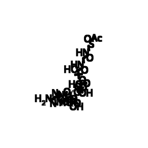 CC(=O)C(=O)SCCNC(=O)CCNC(=O)[C@H](O)C(C)(C)COP(=O)(O)OP(=O)(O)OC[C@H]1O[C@@H](n2cnc3c(N)ncnc32)[C@H](O)[C@@H]1OP(=O)(O)O